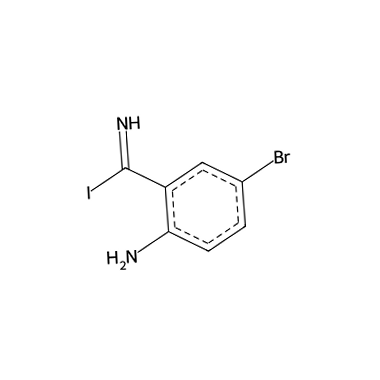 N=C(I)c1cc(Br)ccc1N